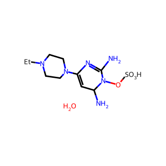 CCN1CCN(C2=CC(N)N(OS(=O)(=O)O)C(N)=N2)CC1.O